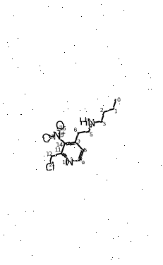 CCCCNCCc1ccnc(CCl)c1[N+](=O)[O-]